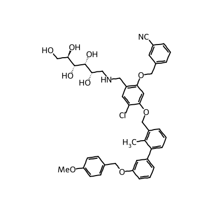 COc1ccc(COc2cccc(-c3cccc(COc4cc(OCc5cccc(C#N)c5)c(CNC[C@H](O)[C@@H](O)[C@H](O)[C@H](O)CO)cc4Cl)c3C)c2)cc1